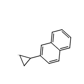 [CH]1CC1c1ccc2ccccc2c1